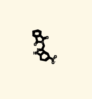 O=C1c2ccccc2C(=O)N1CC1=NNC2CC=C([N+](=O)[O-])C=C12